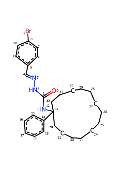 O=C(N/N=C/c1ccc(Br)cc1)NC1(c2ccccc2)CCCCCCCCCCCCC1